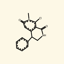 Cn1c(Cl)c2c(cc1=O)C(c1ccccc1)CNC2=O